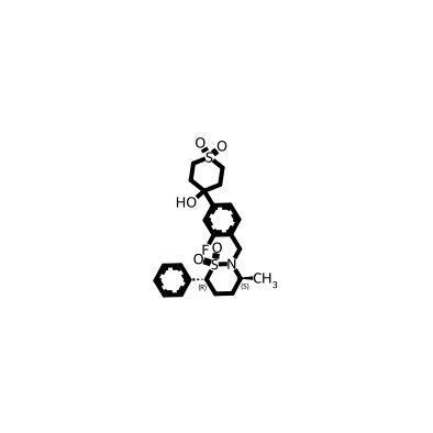 C[C@H]1CC[C@H](c2ccccc2)S(=O)(=O)N1Cc1ccc(C2(O)CCS(=O)(=O)CC2)cc1F